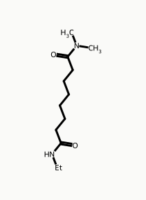 CCNC(=O)CCCCCCC(=O)N(C)C